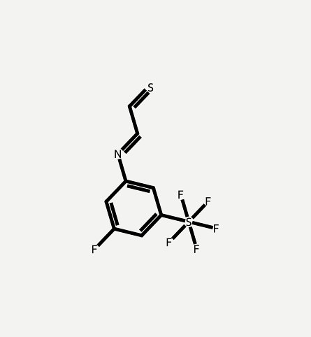 Fc1cc(N=CC=S)cc(S(F)(F)(F)(F)F)c1